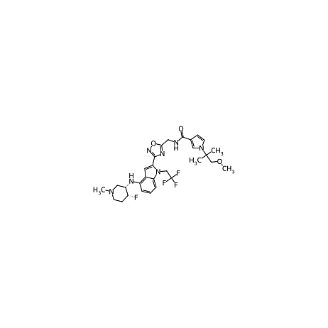 COCC(C)(C)n1ccc(C(=O)NCc2nc(-c3cc4c(N[C@H]5CN(C)CC[C@H]5F)cccc4n3CC(F)(F)F)no2)c1